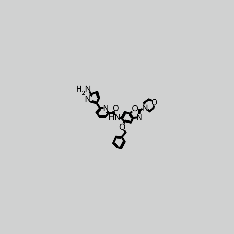 Nc1ccc(-c2cccc(C(=O)Nc3cc4oc(N5CCOCC5)nc4cc3OCc3ccccc3)n2)cn1